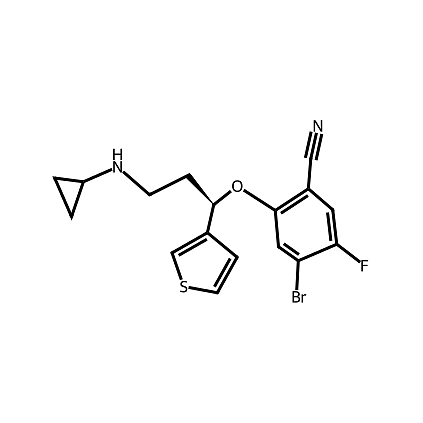 N#Cc1cc(F)c(Br)cc1O[C@H](CCNC1CC1)c1ccsc1